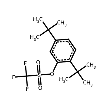 CC(C)(C)c1ccc(C(C)(C)C)c(OS(=O)(=O)C(F)(F)F)c1